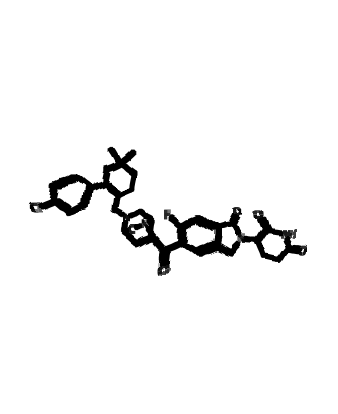 CC1(C)CCC(CN2CC3CCC2CN3C(=O)c2cc3c(cc2F)C(=O)N(C2CCC(=O)NC2=O)C3)=C(c2ccc(Cl)cc2)C1